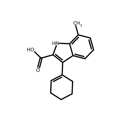 Cc1cccc2c(C3=CCCCC3)c(C(=O)O)[nH]c12